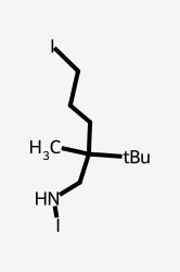 CC(C)(C)C(C)(CCCI)CNI